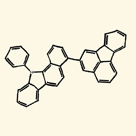 c1ccc(-n2c3ccccc3c3ccc4c(-c5cc6c7c(cccc7c5)-c5ccccc5-6)cccc4c32)cc1